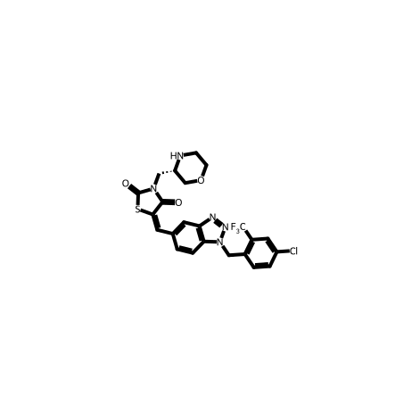 O=C1SC(=Cc2ccc3c(c2)nnn3Cc2ccc(Cl)cc2C(F)(F)F)C(=O)N1C[C@H]1COCCN1